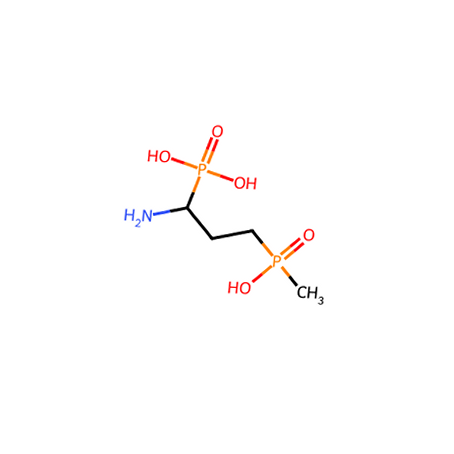 CP(=O)(O)CCC(N)P(=O)(O)O